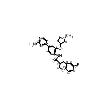 CN1CCC(Oc2cc(-c3ccnc(N)n3)ccc2NC(=O)C2COc3ccc(F)cc3C2)C1